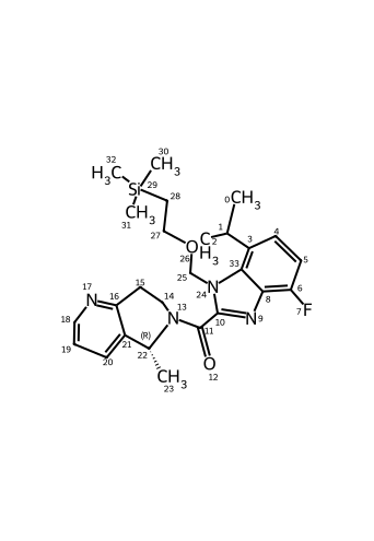 CC(C)c1ccc(F)c2nc(C(=O)N3CCc4ncccc4[C@H]3C)n(COCC[Si](C)(C)C)c12